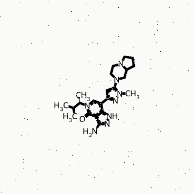 CC(C)[C@H](C)n1cc(-c2cc(N3CCN4CCCC4C3)n(C)n2)c2[nH]nc(N)c2c1=O